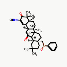 [C-]#[N+]C1=C[C@]2(C)[C@H]3CC(=O)[C@@H]4[C@@H]5CC(C)(C)CC[C@]5(C[S+]([O-])c5ccccc5)CC[C@@]4(C)[C@]3(C)CC[C@H]2C(C)(C)C1=O